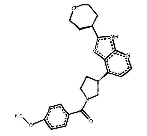 O=C(c1ccc(OC(F)(F)F)cc1)N1CC[C@@H](c2ccnc3[nH]c(C4CCOCC4)nc23)C1